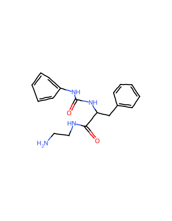 NCCNC(=O)C(Cc1ccccc1)NC(=O)Nc1ccccc1